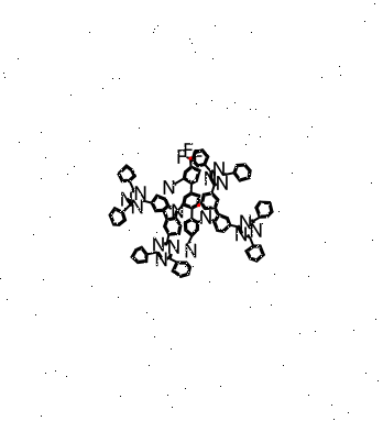 N#Cc1ccc(-c2ccc(-c3ccc(C(F)(F)F)cc3C#N)cc2-n2c3ccc(-c4nc(-c5ccccc5)nc(-c5ccccc5)n4)cc3c3cc(-c4nc(-c5ccccc5)nc(-c5ccccc5)n4)ccc32)c(-n2c3ccc(-c4nc(-c5ccccc5)nc(-c5ccccc5)n4)cc3c3cc(-c4nc(-c5ccccc5)nc(-c5ccccc5)n4)ccc32)c1